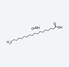 CCCCCCCCCCCCCCCCCC(=O)O.[O]=[AlH]